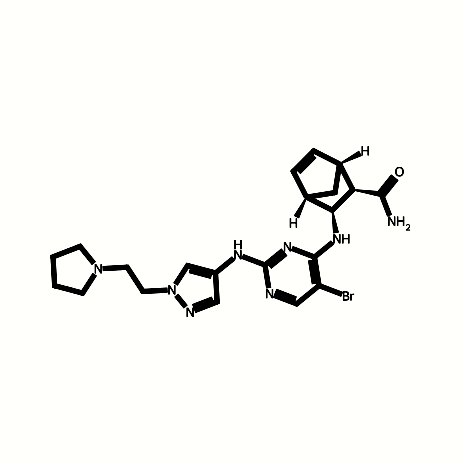 NC(=O)[C@H]1[C@@H](Nc2nc(Nc3cnn(CCN4CCCC4)c3)ncc2Br)[C@@H]2C=C[C@H]1C2